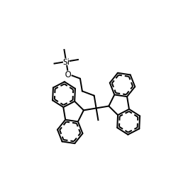 CC(CCCO[Si](C)(C)C)(C1c2ccccc2-c2ccccc21)C1c2ccccc2-c2ccccc21